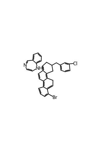 C1=CNc2ccccc2C=N1.Clc1cccc(CC2CC=c3ccc4c(c3C2)CC=c2c(Br)cccc2=4)c1